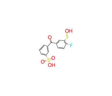 O=C(c1cccc(S(=O)(=O)O)c1)c1ccc(F)c(SO)c1